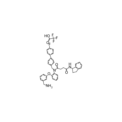 NCc1cccc(Oc2ccccc2N(Cc2ccc(-c3ccc(F)cc3)cc2)C(=O)CCC(=O)NC2CCc3ccccc32)c1.O=C(O)C(F)(F)F